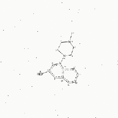 CN1CCN(c2cc(O)cc3ccccc23)CC1